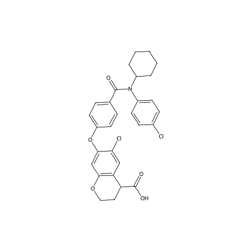 O=C(O)C1CCOc2cc(Oc3ccc(C(=O)N(c4ccc(Cl)cc4)C4CCCCC4)cc3)c(Cl)cc21